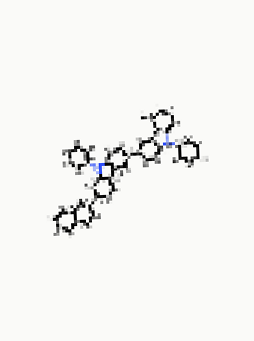 CC1C=CC=C2C1c1cc(-c3ccc4c(c3)c3ccc(-c5ccc6ccccc6c5)cc3n4-c3ccccc3)ccc1N2c1ccccc1